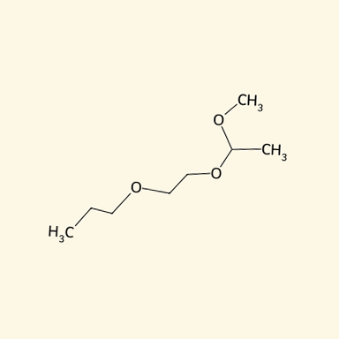 CCCOCCOC(C)OC